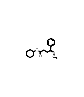 CO/N=C(\CCC(=O)OC1CCCCC1)c1ccccc1